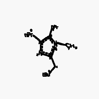 CCCc1nc(CC(C)(C)C)n(C)c1CCC